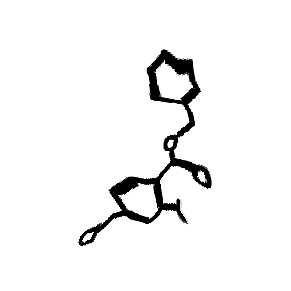 O=C(OCc1ccccc1)c1ccc(Cl)cc1I